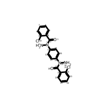 NN(C(=O)c1ccccc1Cl)c1ccc(N(N)C(=O)c2ccccc2Cl)cc1